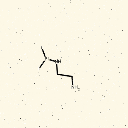 NCC[NH][Pt]([I])[I]